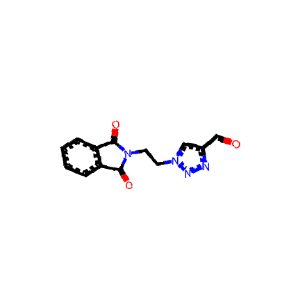 O=Cc1cn(CCN2C(=O)c3ccccc3C2=O)nn1